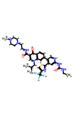 CCNC(=O)Nc1cc(-c2nc(C(F)(F)F)cs2)c(-c2ccc3c(=O)c(C(=O)NCCN4CCN(C)CC4)cn(CC(C)C)c3c2)cn1